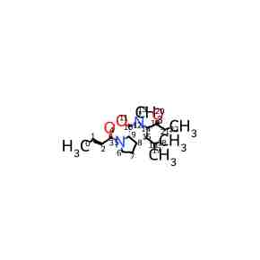 C/C=C/C(=O)N1CCC[C@H]1C(=O)N(C)[C@H](CC(C)C)C(=O)CC